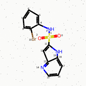 O=S(=O)(Nc1ccccc1Br)c1cc2ncccc2[nH]1